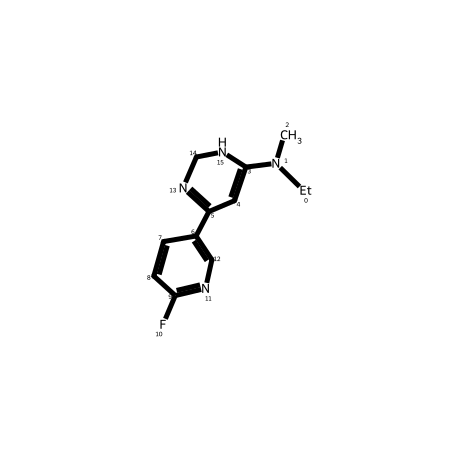 CCN(C)C1=CC(c2ccc(F)nc2)=NCN1